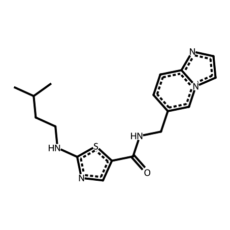 CC(C)CCNc1ncc(C(=O)NCc2ccc3nccn3c2)s1